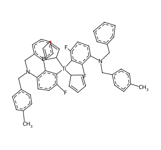 Cc1ccc(CN(Cc2ccccc2)c2ccc(F)[c]([Ti]([c]3c(F)ccc(N(Cc4ccccc4)Cc4ccc(C)cc4)c3F)([CH]3C=CC=C3)[CH]3C=CC=C3)c2F)cc1